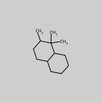 C[C]1CCC2CCCCC2C1(C)C